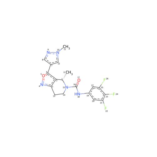 C[C@H]1c2c(noc2-c2cnn(C)c2)CCN1C(=O)Nc1cc(F)c(F)c(F)c1